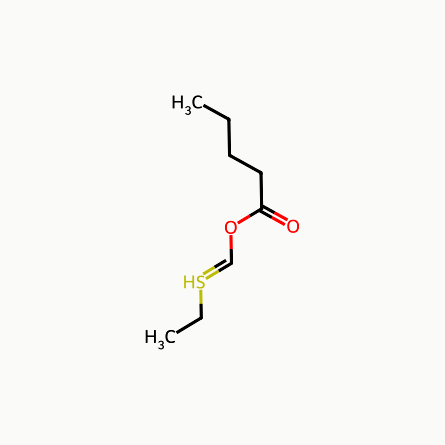 CCCCC(=O)OC=[SH]CC